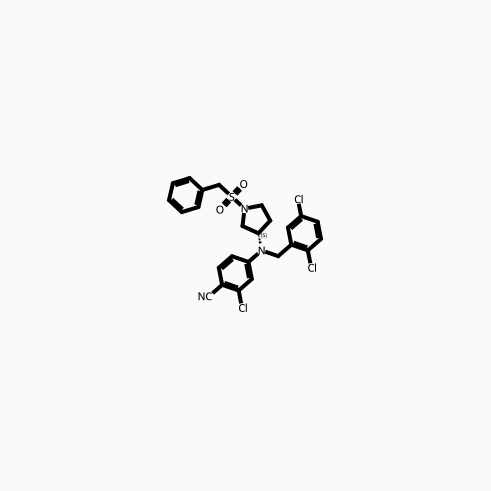 N#Cc1ccc(N(Cc2cc(Cl)ccc2Cl)[C@H]2CCN(S(=O)(=O)Cc3ccccc3)C2)cc1Cl